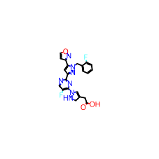 O=C(O)CC1=CN(c2nc(-c3cc(-c4ccon4)n(Cc4ccccc4F)n3)ncc2F)NC1